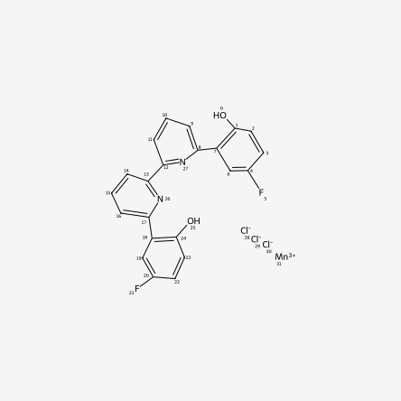 Oc1ccc(F)cc1-c1cccc(-c2cccc(-c3cc(F)ccc3O)n2)n1.[Cl-].[Cl-].[Cl-].[Mn+3]